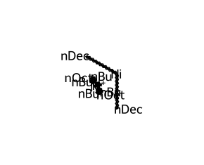 CCCCCCCCCCCCCCCCCCCCCCCCCCC[CH2][Ni][CH2]CCCCCCCCCCCCCCCCCCCCCCCCCCC.CCCCCCCCc1c(CCCC)cc(C2=CC(C)=C(c3cc(CCCC)c(CCCCCCCC)c(CCCC)c3)[N+]2=[N-])cc1CCCC